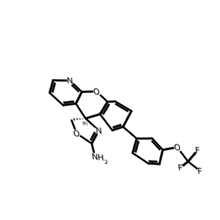 NC1=N[C@]2(CO1)c1cc(-c3cccc(OC(F)(F)F)c3)ccc1Oc1ncccc12